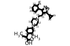 C/C=C(/C(=O)O)c1ccc(N2CCN(CCc3c(-c4ccccc4F)noc3C3CC3)CC2)cc1C